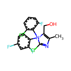 CC1=C(CO)[N+](c2ccc(F)cc2F)(c2c(F)cccc2Cl)C(Cl)=N1